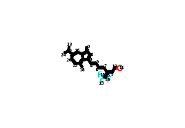 Cc1cc(/C=C/C=C/C(=C\C=O)C(F)(F)F)c2c(C)ccc(C(C)C)cc1-2